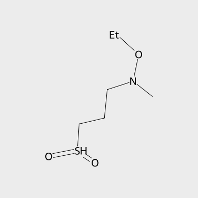 [CH2]CON(C)CCC[SH](=O)=O